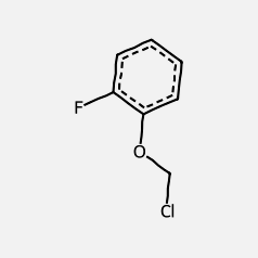 Fc1ccccc1OCCl